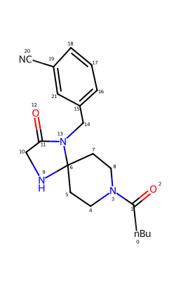 CCCCC(=O)N1CCC2(CC1)NCC(=O)N2Cc1cccc(C#N)c1